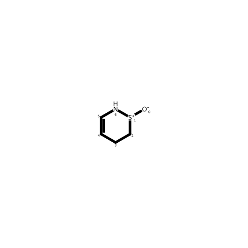 [O-][S+]1CCC=CN1